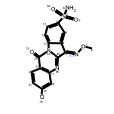 CO/N=C1\c2cc(S(N)(=O)=O)ccc2-n2c1nc1cc(Cl)ccc1c2=O